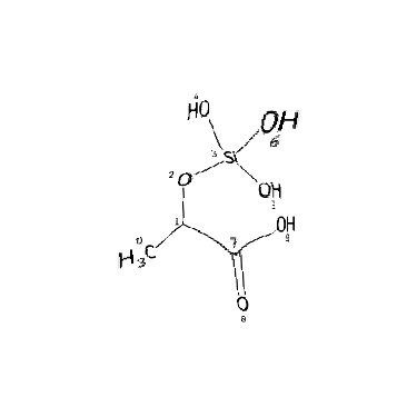 CC(O[Si](O)(O)O)C(=O)O